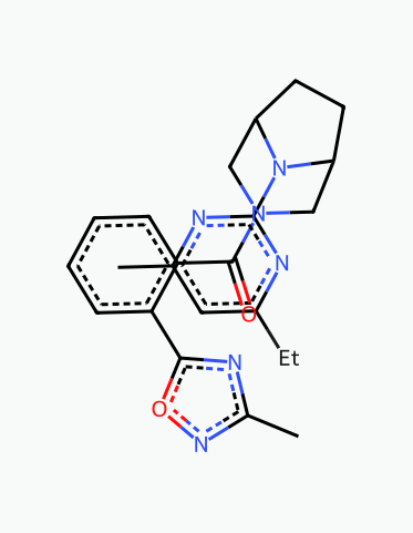 CCc1cc(C)nc(N2C3CCC2CN(C(=O)c2ccccc2-c2nc(C)no2)C3)n1